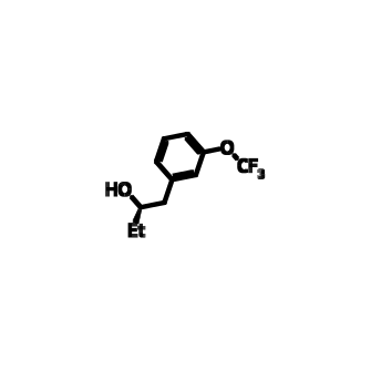 CC[C@@H](O)Cc1cccc(OC(F)(F)F)c1